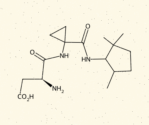 CC1CCC(C)(C)C1NC(=O)C1(NC(=O)[C@@H](N)CC(=O)O)CC1